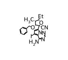 CC[C@H]1O[C@@](C#N)(c2cc(I)c3c(N)ncnn23)[C@H](OCc2ccccc2)[C@@H]1C